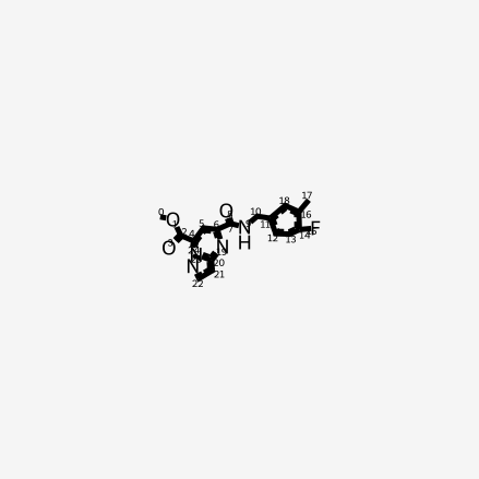 COC(=O)c1cc(C(=O)NCc2ccc(F)c(C)c2)nc2ccnn12